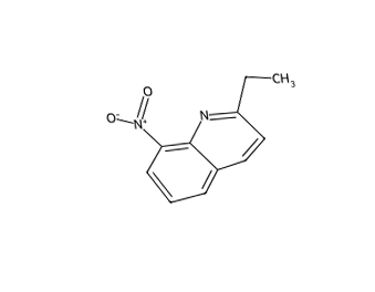 CCc1ccc2cccc([N+](=O)[O-])c2n1